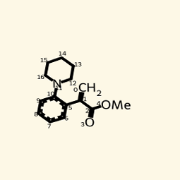 C=C(C(=O)OC)c1ccccc1N1CCCCC1